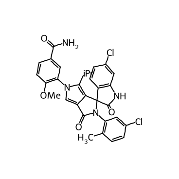 COc1ccc(C(N)=O)cc1-n1cc2c(c1C(C)C)C1(C(=O)Nc3cc(Cl)ccc31)N(c1cc(Cl)ccc1C)C2=O